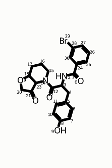 O=C(NC(Cc1ccc(O)cc1)C(=O)N1CCCC2OCC(=O)C21)c1cccc(Br)c1